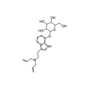 C=CCN(CC=C)CCc1c[nH]c2c(OC3OC(CO)C(O)C(O)C3O)cccc12